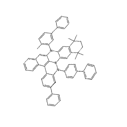 Cc1ccc(-c2ccccc2)cc1N1c2cc3c(cc2B2c4c1cc1ccccc1c4-c1ccc(-c4ccccc4)cc1N2c1ccc(-c2ccccc2)cc1)C(C)(C)CCC3(C)C